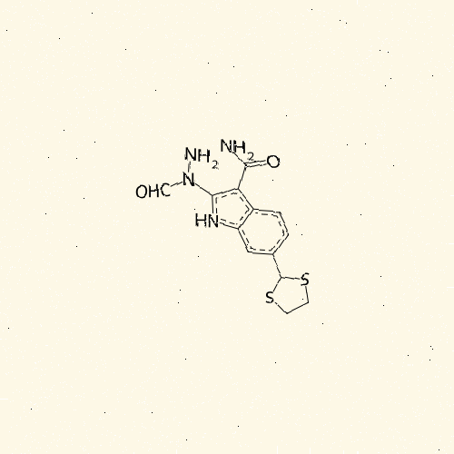 NC(=O)c1c(N(N)C=O)[nH]c2cc(C3SCCS3)ccc12